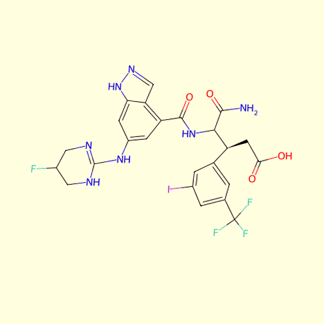 NC(=O)C(NC(=O)c1cc(NC2=NCC(F)CN2)cc2[nH]ncc12)[C@@H](CC(=O)O)c1cc(I)cc(C(F)(F)F)c1